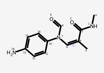 CNC(=O)/C(C)=C\N(C=O)c1ccc(N)cc1